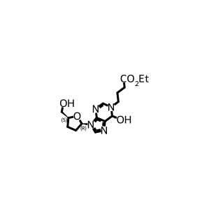 CCOC(=O)CCCN1C=Nc2c(ncn2[C@H]2CC[C@@H](CO)O2)C1O